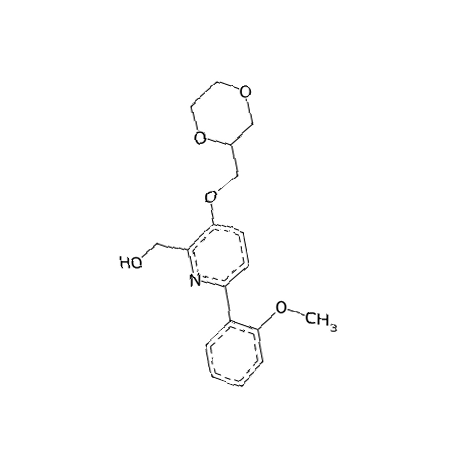 COc1ccccc1-c1ccc(OCC2COCCO2)c(CO)n1